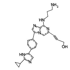 NCCCNc1nc(C#CCO)cn2c(-c3ccc(-c4cnc(C5CC5)[nH]4)cc3)cnc12